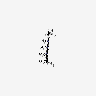 CC(C)=CCC/C(C)=C/CC/C(C)=C/CC/C(C)=C/COC(=O)[C@@H](N)CS